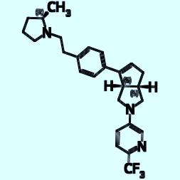 C[C@@H]1CCCN1CCc1ccc(C2=CC[C@@H]3CN(c4ccc(C(F)(F)F)nc4)C[C@H]23)cc1